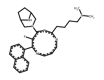 CN(C)CCCCc1ncccnc(-c2cccc3ccccc23)c(F)c(N2CC3CCC(C2)N3)n1